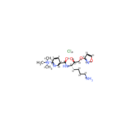 C[N+](C)(C)c1ccc(C(=O)N[C@@H](CCCCN)C(=O)COc2ccon2)cn1.[Cl-]